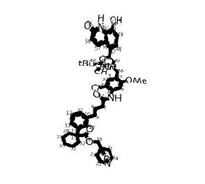 COc1cc(NC(=O)CCCc2cccc(C3(C(=O)OCC45CCN(CC4)CC5)CCCCC3)c2)c(Cl)cc1CNC[C@@H](O[Si](C)(C)C(C)(C)C)c1ccc(O)c2[nH]c(=O)ccc12